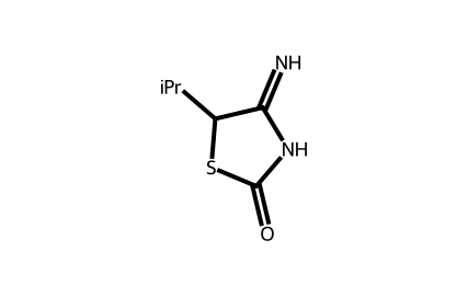 CC(C)C1SC(=O)NC1=N